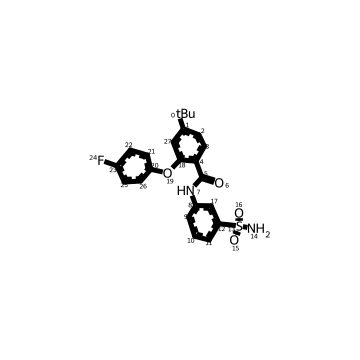 CC(C)(C)c1ccc(C(=O)Nc2cccc(S(N)(=O)=O)c2)c(Oc2ccc(F)cc2)c1